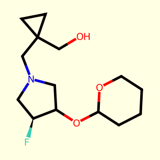 OCC1(CN2CC(OC3CCCCO3)[C@@H](F)C2)CC1